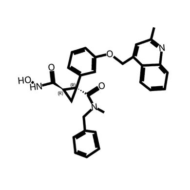 Cc1cc(COc2cccc([C@@]3(C(=O)N(C)Cc4ccccc4)C[C@H]3C(=O)NO)c2)c2ccccc2n1